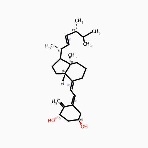 C=C1/C(=C\C=C2/CCC[C@]3(C)C([C@H](C)/C=C/[C@H](C)C(C)C)CC[C@@H]23)C[C@@H](O)C[C@@H]1O